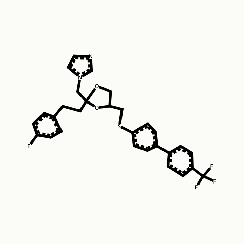 Fc1ccc(CCC2(Cn3ccnc3)OCC(CSc3ccc(-c4ccc(C(F)(F)F)cc4)cc3)O2)cc1